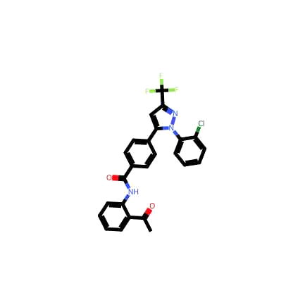 CC(=O)c1ccccc1NC(=O)c1ccc(-c2cc(C(F)(F)F)nn2-c2ccccc2Cl)cc1